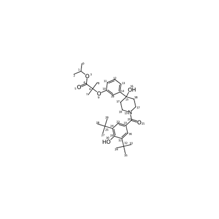 CC(C)OC(=O)C(C)(C)Oc1cccc(C2(O)CCN(C(=O)c3cc(C(C)(C)C)c(O)c(C(C)(C)C)c3)CC2)c1